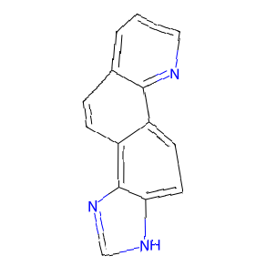 c1cnc2c(c1)ccc1c2ccc2[nH]cnc21